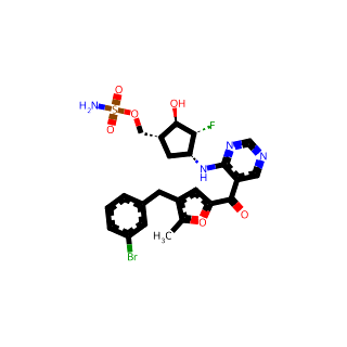 Cc1oc(C(=O)c2cncnc2N[C@@H]2C[C@H](COS(N)(=O)=O)[C@@H](O)[C@@H]2F)cc1Cc1cccc(Br)c1